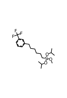 CO[Si](CCCCCCc1cccc(C(F)(F)F)c1)(OC(C)C)OC(C)C